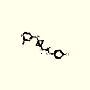 Cc1nccc(NC23CC([C@@H](C)C(=O)Nc4ccc(Cl)cc4)(C2)C3)n1